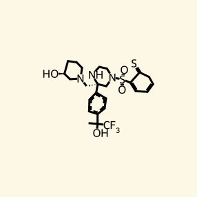 CC(O)(c1ccc([C@]2(CN3CCC[C@H](O)C3)CN(S(=O)(=O)C3=CC=CCC3=S)CCN2)cc1)C(F)(F)F